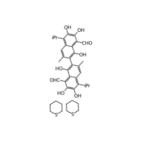 C1CCSCC1.C1CCSCC1.Cc1cc2c(C(C)C)c(O)c(O)c(C=O)c2c(O)c1-c1c(C)cc2c(C(C)C)c(O)c(O)c(C=O)c2c1O